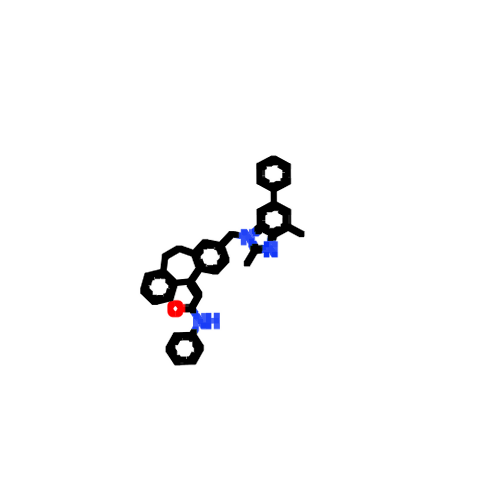 Cc1cc(-c2ccccc2)cc2c1nc(C)n2Cc1ccc2c(c1)CCc1ccccc1C2=CC(=O)Nc1ccccc1